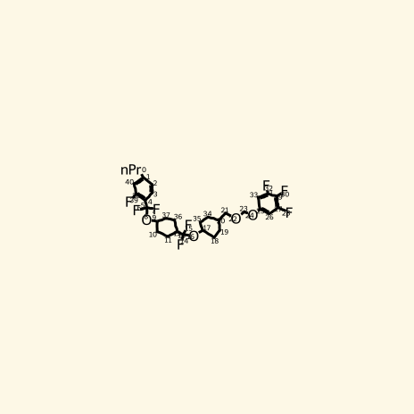 CCCc1ccc(C(F)(F)OC2CCC(C(F)(F)OC3CCC(COCOc4cc(F)c(F)c(F)c4)CC3)CC2)c(F)c1